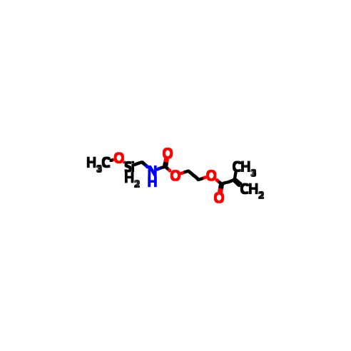 C=C(C)C(=O)OCCOC(=O)NC[SiH2]OC